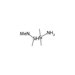 CN[SiH](C)[Si](C)(C)N